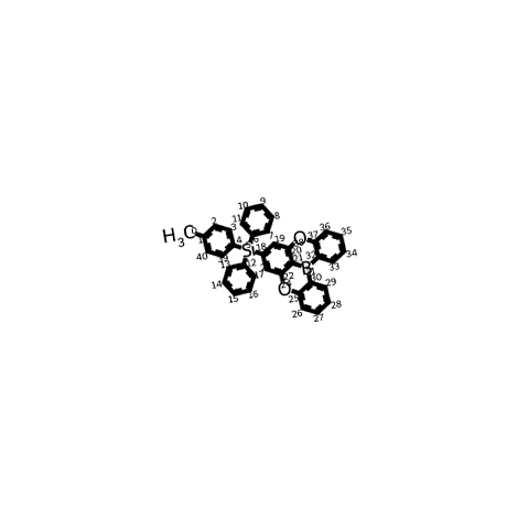 Cc1ccc([Si](c2ccccc2)(c2ccccc2)c2cc3c4c(c2)Oc2ccccc2B4c2ccccc2O3)cc1